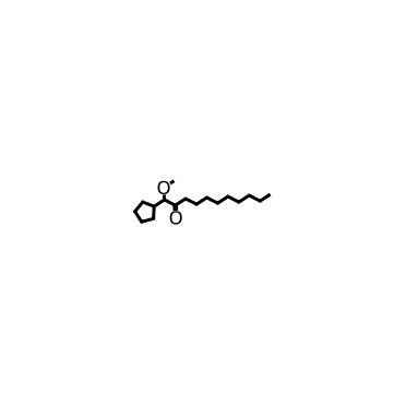 CCCCCCCCCC(=O)C(OC)C1CCCC1